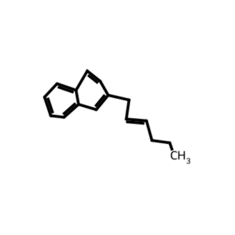 CCCC=CCc1ccc2ccccc2c1